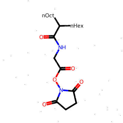 CCCCCCCCC(CCCCCC)C(=O)NCC(=O)ON1C(=O)CCC1=O